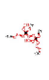 CC(C)OC(OO)(OOOC(C)(C)C)OOC(OO)(OOOC(C)(C)C)OC(C)C